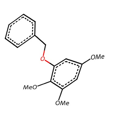 COc1cc(OC)c(OC)c(OCc2ccccc2)c1